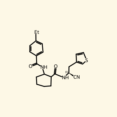 CCc1ccc(C(=O)NC2CCCCC2C(=O)N[C@H](C#N)Cc2ccsc2)cc1